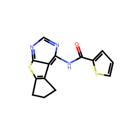 O=C(Nc1ncnc2sc3c(c12)CCC3)c1cccs1